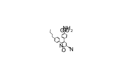 CCCCc1ccc(-c2nc(OC)c(C#N)cc2-c2ccc(S(N)(=O)=O)cc2)cc1